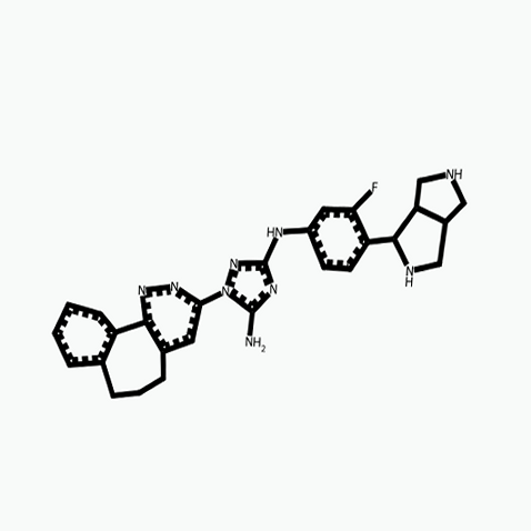 Nc1nc(Nc2ccc(C3NCC4CNCC43)c(F)c2)nn1-c1cc2c(nn1)-c1ccccc1CCC2